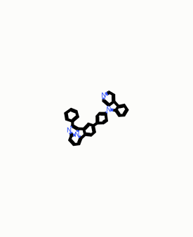 c1ccc(-c2nc3cccc4c5ccc(-c6ccc(-n7c8ccccc8c8ccncc87)cc6)cc5c2n34)cc1